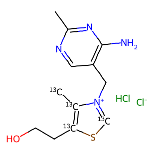 Cc1ncc(C[n+]2[13cH]s[13c](CCO)[13c]2[13CH3])c(N)n1.Cl.[Cl-]